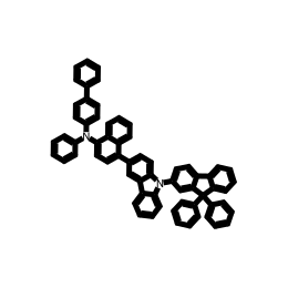 c1ccc(-c2ccc(N(c3ccccc3)c3ccc(-c4ccc5c(c4)c4ccccc4n5-c4ccc5c(c4)C(c4ccccc4)(c4ccccc4)c4ccccc4-5)c4ccccc34)cc2)cc1